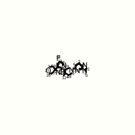 Cn1cnc2ccc(N3CCC(C)(Oc4ncc(F)cc4C4(N)CCOCC4)CC3)nc21